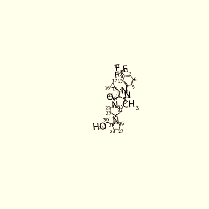 Cc1nn(-c2cccc(C(F)(F)F)c2)c(C2CC2)c1C(=O)N1CCC(N2CCC[C@H]2CO)CC1